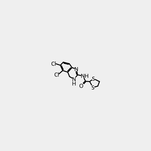 O=C(NC1=Nc2ccc(Cl)c(Cl)c2CN1)C1SCCS1